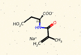 C=C(C)C(=O)N[C@@H](CC(=O)O)C(=O)[O-].[Na+]